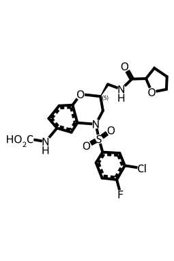 O=C(O)Nc1ccc2c(c1)N(S(=O)(=O)c1ccc(F)c(Cl)c1)C[C@H](CNC(=O)C1CCCO1)O2